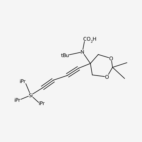 CC(C)[Si](C#CC#CC1(N(C(=O)O)C(C)(C)C)COC(C)(C)OC1)(C(C)C)C(C)C